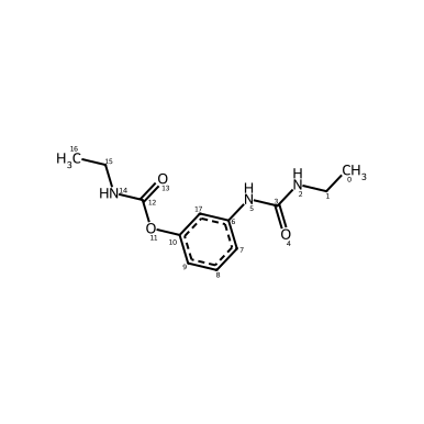 CCNC(=O)Nc1cccc(OC(=O)NCC)c1